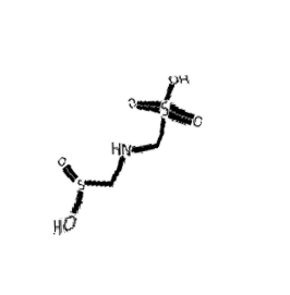 O=S(O)CNCS(=O)(=O)O